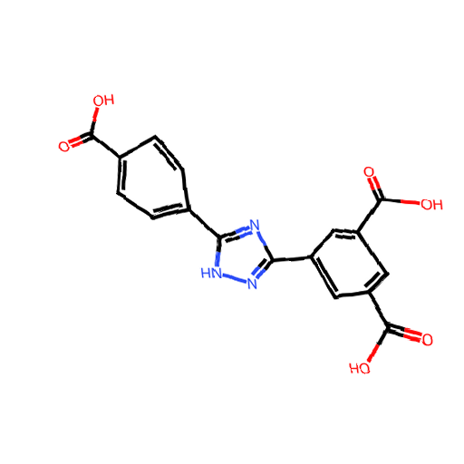 O=C(O)c1ccc(-c2nc(-c3cc(C(=O)O)cc(C(=O)O)c3)n[nH]2)cc1